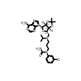 CC(C)N(CCCN(C(N)=O)c1cccc(Cl)c1)C[C@H]1O[C@@H](n2cnc3c(N)ncnc32)[C@@H]2OC(C)(C)O[C@@H]21